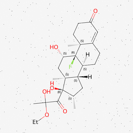 CCOC(C)(O)C(=O)[C@@]1(O)[C@@H](C)C[C@H]2[C@@H]3CCC4=CC(=O)CC[C@]4(C)[C@@]3(F)[C@@H](O)C[C@@]21C